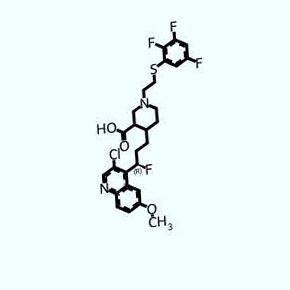 COc1ccc2ncc(Cl)c([C@H](F)CCC3CCN(CCSc4cc(F)cc(F)c4F)CC3C(=O)O)c2c1